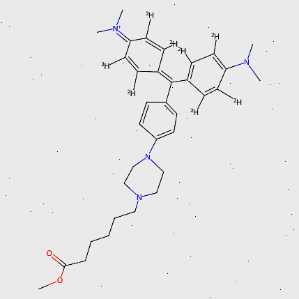 [2H]C1=C([2H])C(=[N+](C)C)C([2H])=C([2H])C1=C(c1ccc(N2CCN(CCCCCC(=O)OC)CC2)cc1)c1c([2H])c([2H])c(N(C)C)c([2H])c1[2H]